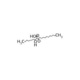 CCCCCCCCCCCC(=O)C(C(=O)O)C(O)CCCCCCC